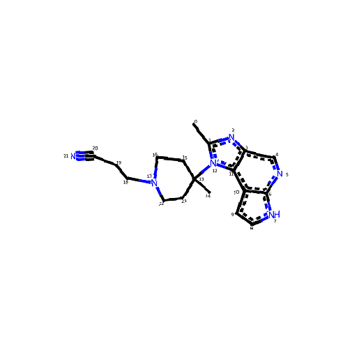 Cc1nc2cnc3[nH]ccc3c2n1C1(C)CCN(CCC#N)CC1